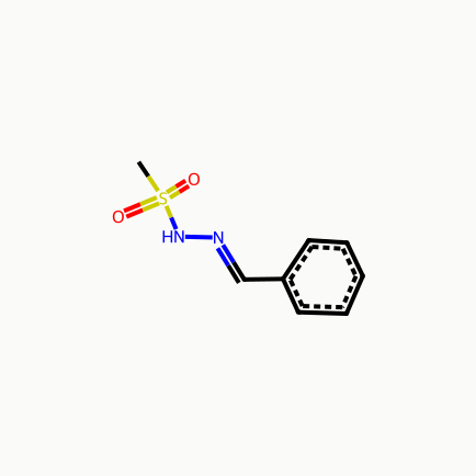 CS(=O)(=O)NN=Cc1ccccc1